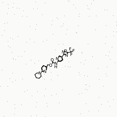 O=C(Nc1ccc(-c2noc(C(F)(F)F)n2)cn1)OCc1ccc(N2CCCCC2)nc1